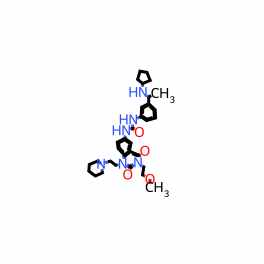 COCCn1c(=O)c2cc(NC(=O)Nc3cccc(C(C)NC4CCCC4)c3)ccc2n(CCN2CCCCC2)c1=O